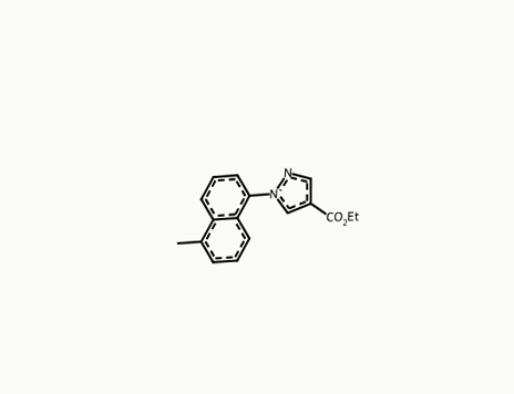 CCOC(=O)c1cnn(-c2cccc3c(C)cccc23)c1